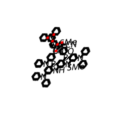 CSN1c2cc3c(cc2B2c4cc5c(cc4Oc4cc(N(c6ccccc6)c6ccccc6)cc1c42)N(SC)c1cc(N(c2ccccc2)c2ccccc2)cc2c1B5c1cc(C#N)ccc1N2c1ccccc1)B1c2cc(C#N)ccc2N(c2ccccc2)c2cc(N(c4ccccc4)c4ccccc4)cc(c21)N3